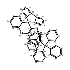 c1ccc(C2(c3ccccc3-c3cc4c(c5ccccc35)Oc3ccccc3C43c4ccccc4-c4ccccc43)c3ccccc3-c3ccccc32)cc1